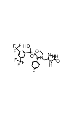 O=c1[nH]nc(CN2CCO[C@H](O[C@H](CO)c3cc(C(F)(F)F)cc(C(F)(F)F)c3)[C@@H]2c2ccc(F)cc2)[nH]1